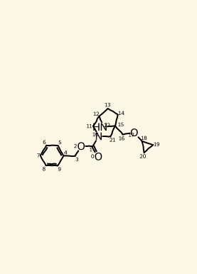 O=C(OCc1ccccc1)N1CC2CCC(COC3CC3)(C1)N2